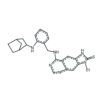 CCn1c(=S)[nH]c2cc3c(NCc4ccccc4NC4CC5CCC4C5)ncnc3cc21